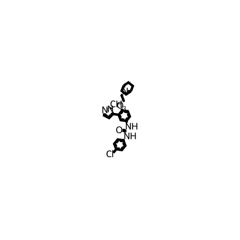 Cn1nccc1-c1cc(NC(=O)Nc2ccc(Cl)cc2)ccc1OCCN1C2CCC1CC2